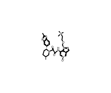 Cc1nc2cc([C@H]3CC[C@H](C)CN3C(=O)C(=O)Nc3c[n+]([O-])cc4cnn(COCC[Si](C)(C)C)c34)ccc2s1